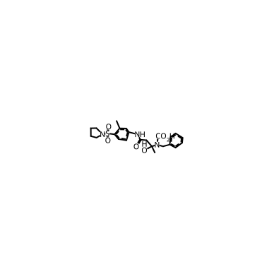 Cc1cc(NC(=O)CC(C)(O)N(Cc2ccccc2)C(=O)O)ccc1S(=O)(=O)N1CCCC1